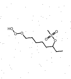 CCC(CCCCCOOO)OS(C)(=O)=O